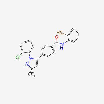 O=C(Nc1ccccc1S)c1ccc(-c2cc(C(F)(F)F)nn2-c2ccccc2Cl)cc1